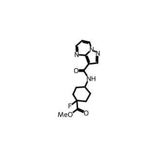 COC(=O)C1(F)CCC(NC(=O)c2cnn3cccnc23)CC1